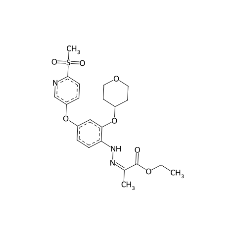 CCOC(=O)/C(C)=N\Nc1ccc(Oc2ccc(S(C)(=O)=O)nc2)cc1OC1CCOCC1